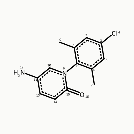 Cc1cc(Cl)cc(C)c1-n1cc(N)ccc1=O